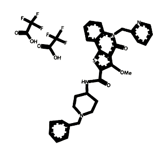 COc1c(C(=O)NC2CCN(Cc3ccccc3)CC2)sc2c1c(=O)n(Cc1ccccn1)c1ccccc21.O=C(O)C(F)(F)F.O=C(O)C(F)(F)F